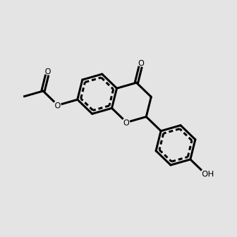 CC(=O)Oc1ccc2c(c1)OC(c1ccc(O)cc1)CC2=O